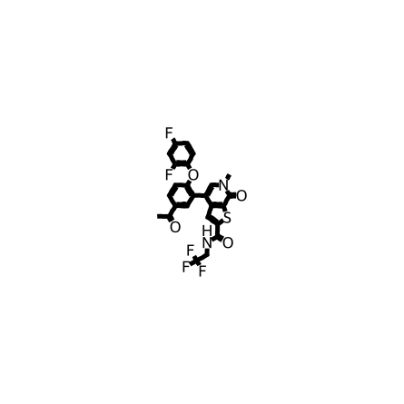 CC(=O)c1ccc(Oc2ccc(F)cc2F)c(-c2cn(C)c(=O)c3sc(C(=O)NCC(F)(F)F)cc23)c1